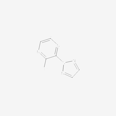 CC(C)c1nccnc1-n1nccn1